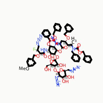 COc1ccc(CO[C@H](C(=O)N[C@H]2[C@H](O)[C@@H](O[C@@H]3O[C@H](CO)[C@@H](O[C@H]4O[C@@H](CN=[N+]=[N-])[C@@H](O)[C@H](O)[C@H]4N=[N+]=[N-])[C@H]3O)[C@H](O[C@H]3O[C@H]([C@H](C)N(Cc4ccccc4)C(=O)OCc4ccccc4)[C@@H](OCc4ccccc4)C[C@H]3N=[N+]=[N-])[C@@H](NC(=O)OCc3ccccc3)[C@@H]2OCc2ccccc2)[C@H](F)CN=[N+]=[N-])cc1